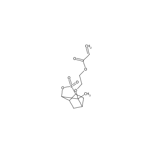 C=CC(=O)OCCOC1(C)C2CC3C1OS(=O)(=O)C3C2